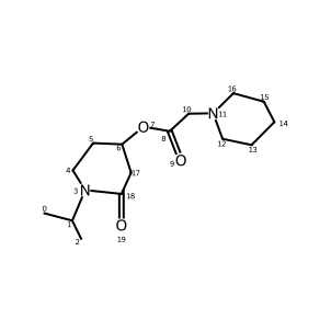 CC(C)N1CCC(OC(=O)CN2CCCCC2)CC1=O